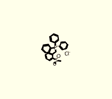 CS(=O)(=O)c1ccccc1C[P+](c1ccccc1)(c1ccccc1)c1ccccc1.[Cl-]